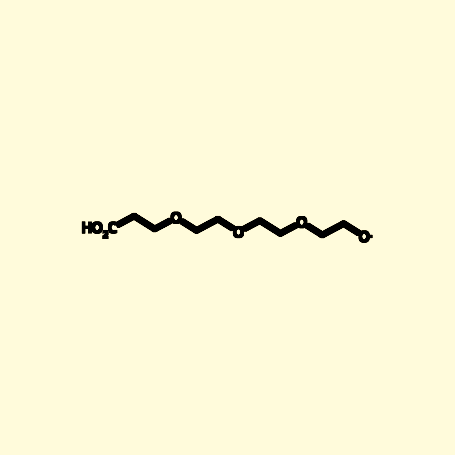 [O]CCOCCOCCOCCC(=O)O